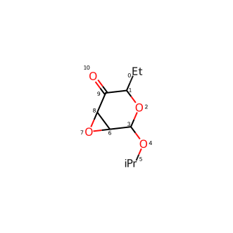 CCC1OC(OC(C)C)C2OC2C1=O